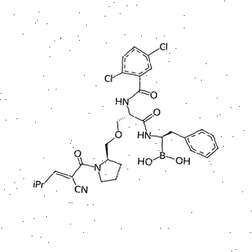 CC(C)/C=C(\C#N)C(=O)N1CCC[C@@H]1COC[C@H](NC(=O)c1cc(Cl)ccc1Cl)C(=O)N[C@@H](Cc1ccccc1)B(O)O